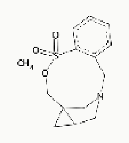 C.O=S1(=O)OCC23CC2CN(Cc2ccccc21)C3